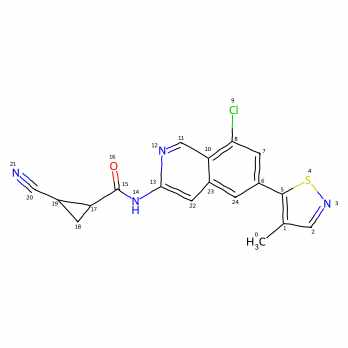 Cc1cnsc1-c1cc(Cl)c2cnc(NC(=O)C3CC3C#N)cc2c1